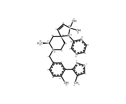 Cc1csnc1-c1cc(CN2CC[C@]3(C=CS(O)(O)N3c3cnccn3)C[C@@H]2C)ccc1O